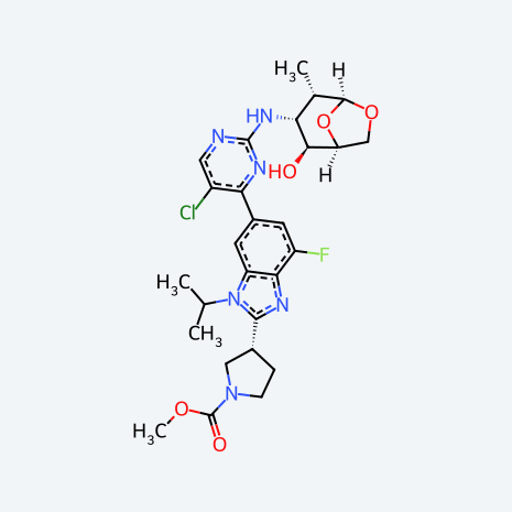 COC(=O)N1CC[C@@H](c2nc3c(F)cc(-c4nc(N[C@@H]5[C@H](C)[C@H]6OC[C@H](O6)[C@H]5O)ncc4Cl)cc3n2C(C)C)C1